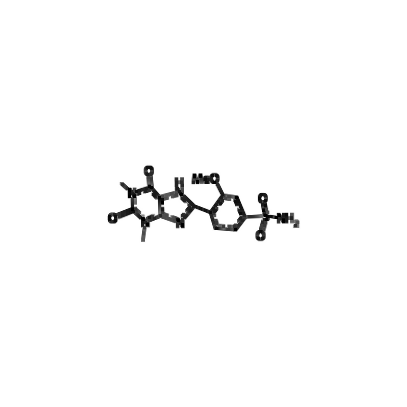 COc1cc(S(N)(=O)=O)ccc1-c1nc2c([nH]1)c(=O)n(C)c(=O)n2C